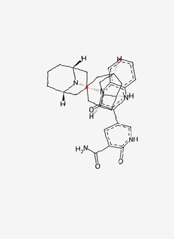 NC(=O)c1cc(-c2nc3ccccc3n([C@H]3C[C@H]4CCC[C@@H](C3)N4[C@@H]3C[C@@H]4CC5[C@@H](C4)C[C@H]5C3)c2=O)c[nH]c1=O